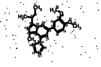 CCC(C)c1nc(C)c2c(-n3cncn3)nc(-c3ccc(OC)c(OC)c3)nn12